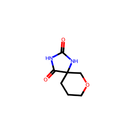 O=C1NC(=O)C2(CCCOC2)N1